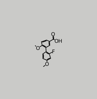 COc1ccc(-c2cc(C(=O)O)ccc2OC)c(F)c1